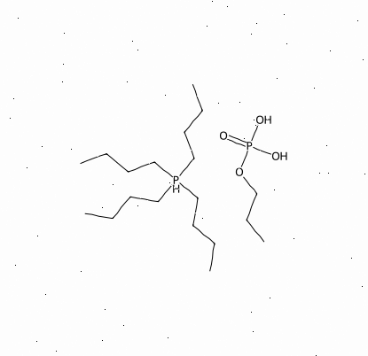 CCCC[PH](CCCC)(CCCC)CCCC.CCCOP(=O)(O)O